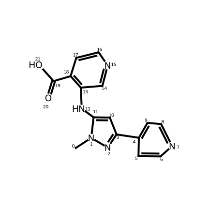 Cn1nc(-c2ccncc2)cc1Nc1cnccc1C(=O)O